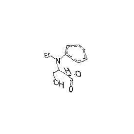 CCN(c1ccccc1)C(CO)[SH](=O)=O